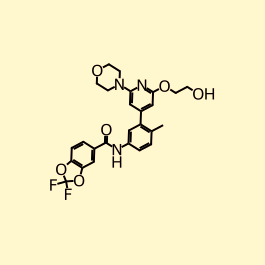 Cc1ccc(NC(=O)c2ccc3c(c2)OC(F)(F)O3)cc1-c1cc(OCCO)nc(N2CCOCC2)c1